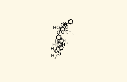 COC(=O)[C@H]1CC[C@]2(N)[C@@H]3CC[C@@H]4C[C@@H](O[C@@H]5O[C@@H](C)[C@H](OC(=O)c6ccccc6)[C@@H](O)[C@H]5O)CC[C@]4(C)[C@H]3CC[C@]12C